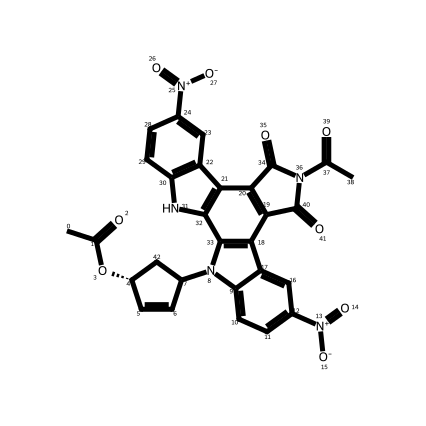 CC(=O)O[C@H]1C=CC(n2c3ccc([N+](=O)[O-])cc3c3c4c(c5c6cc([N+](=O)[O-])ccc6[nH]c5c32)C(=O)N(C(C)=O)C4=O)C1